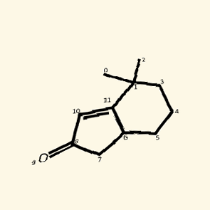 CC1(C)CCCC2CC(=O)C=C21